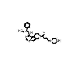 O=C(/C=C/CN1CCNCC1)N1CCc2c(cn3ncnc(N[C@H](CO)c4ccccc4)c23)C1